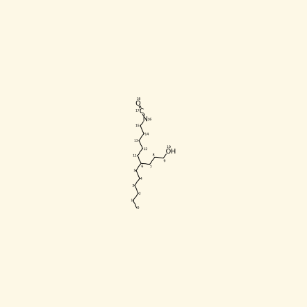 CCCCCCC(CCCO)CCCCCN=C=O